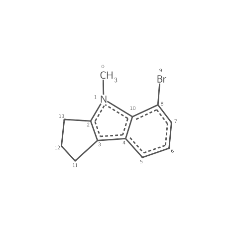 Cn1c2c(c3cccc(Br)c31)CCC2